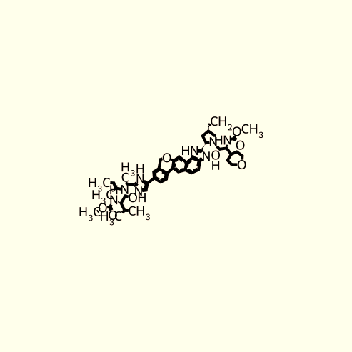 C=C[C@H]1C[C@@H](c2nc3ccc4cc5c(cc4c3[nH]2)OCc2cc(-c3cnc([C@H](C)N(C(O)[C@@H](NC(=O)OC)C(C)C)[C@@H](C)CC)[nH]3)ccc2-5)N(C(O)[C@@H](NC(=O)OC)C2CCOCC2)C1